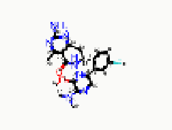 COc1nc(-c2cc(F)ccc2[C@H]2Cc3nc(N)nc(C)c3C(=O)N2)cnc1N(C)C